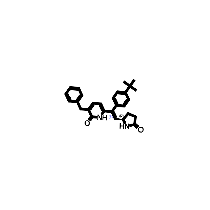 CC(C)(C)c1ccc(/C(=C\[C@H]2CCC(=O)N2)c2ccc(Cc3ccccc3)c(=O)[nH]2)cc1